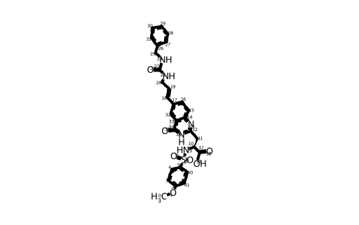 COc1ccc(S(=O)(=O)N[C@@H](Cc2nc3ccc(/C=C/CNC(=O)NCc4ccccc4)cc3c(=O)[nH]2)C(=O)O)cc1